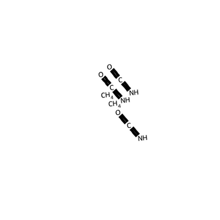 C.C.N=C=O.N=C=O.N=C=O